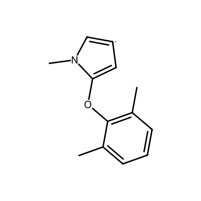 Cc1cccc(C)c1Oc1c[c]cn1C